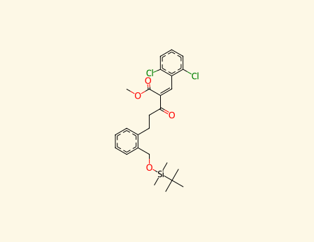 COC(=O)C(=Cc1c(Cl)cccc1Cl)C(=O)CCc1ccccc1CO[Si](C)(C)C(C)(C)C